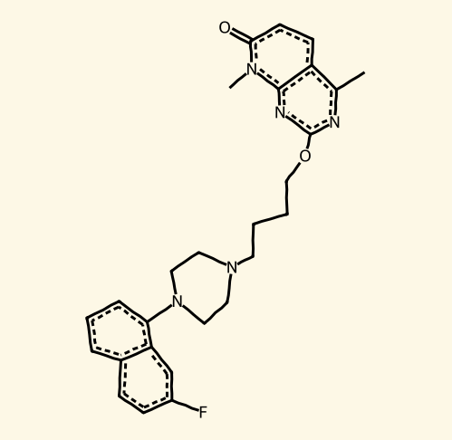 Cc1nc(OCCCCN2CCN(c3cccc4ccc(F)cc34)CC2)nc2c1ccc(=O)n2C